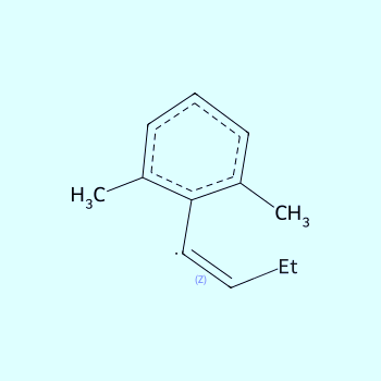 CC/C=[C]\c1c(C)cccc1C